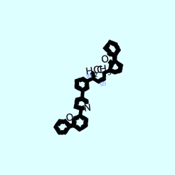 C=C(/C=C\C(=C/C)c1cccc(-c2ccc(-c3cccc4c3oc3ccccc34)nc2)c1)c1cccc2c1oc1ccccc12